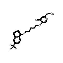 O=c1cc(CO)occ1OCCCCCSc1cccc2cc(C(F)(F)F)ccc12